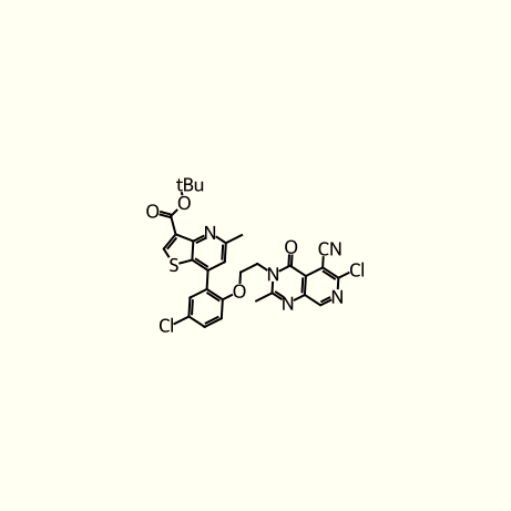 Cc1cc(-c2cc(Cl)ccc2OCCn2c(C)nc3cnc(Cl)c(C#N)c3c2=O)c2scc(C(=O)OC(C)(C)C)c2n1